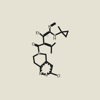 C=N/C(NC1(C)CC1)=C(\CC)C(C(=O)N1CCc2nnc(Cl)cc2C1)=C(C)C